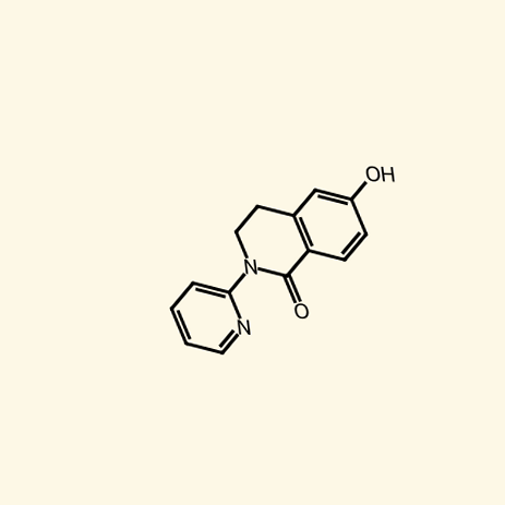 O=C1c2ccc(O)cc2CCN1c1ccccn1